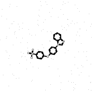 O=S(=O)(Cl)c1ccc(Oc2ccc(-n3cnc4ccccc43)cc2)cc1